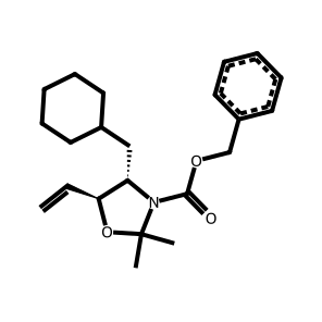 C=C[C@@H]1OC(C)(C)N(C(=O)OCc2ccccc2)[C@H]1CC1CCCCC1